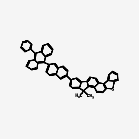 CC1(C)c2ccc(-c3ccc4cc(-c5c6ccccc6c(-c6ccccc6)c6ccccc56)ccc4c3)cc2-c2ccc3c(ccc4sc5ccccc5c43)c21